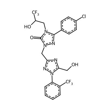 O=c1n(Cc2nc(CO)n(-c3ccccc3C(F)(F)F)n2)nc(-c2ccc(Cl)cc2)n1CC(O)C(F)(F)F